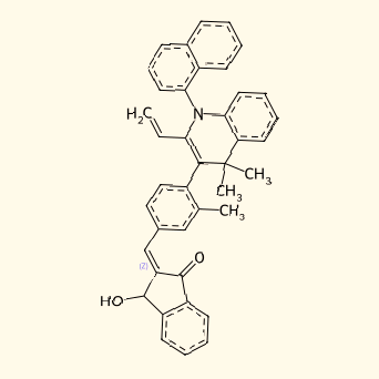 C=CC1=C(c2ccc(/C=C3\C(=O)c4ccccc4C3O)cc2C)C(C)(C)c2ccccc2N1c1cccc2ccccc12